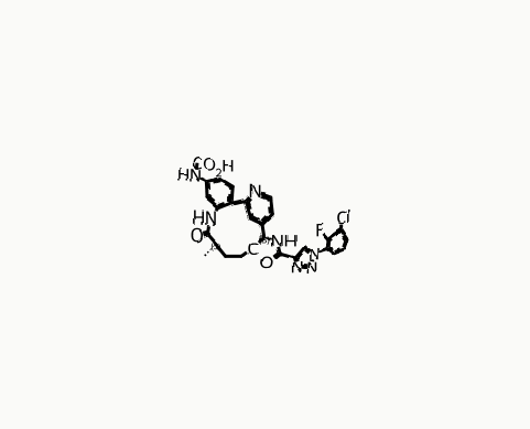 C[C@H]1CCC[C@H](NC(=O)c2cn(-c3cccc(Cl)c3F)nn2)c2ccnc(c2)-c2ccc(NC(=O)O)cc2NC1=O